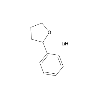 [LiH].c1ccc(C2CCCO2)cc1